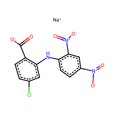 O=C([O-])c1ccc(Cl)cc1Nc1ccc([N+](=O)[O-])cc1[N+](=O)[O-].[Na+]